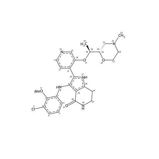 COc1c(Cl)cccc1Nc1c(-c2ccncc2O[C@@H](C)[C@@H]2CN(C)CCO2)[nH]c2c1C(=O)NCC2